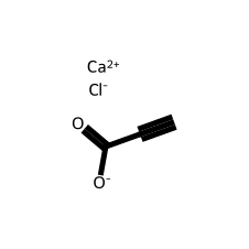 C#CC(=O)[O-].[Ca+2].[Cl-]